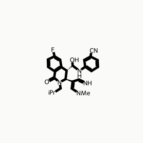 CN/C=C(\C=N)[C@@H]1[C@@H](C(O)Nc2cccc(C#N)c2)c2cc(F)ccc2C(=O)N1CC(C)C